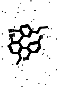 CCCc1ccc(O)c(-c2c(O)[c]cc(CC)c2-c2cc(Cl)ccc2O)c1